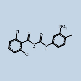 Cc1ccc(NC(=O)NC(=O)c2c(Cl)cccc2Cl)cc1[N+](=O)[O-]